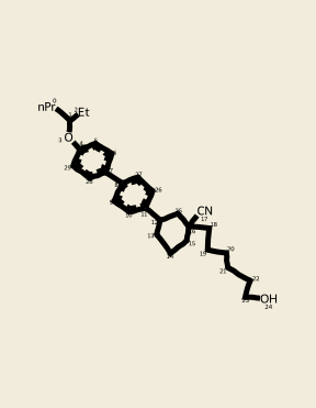 CCCC(CC)Oc1ccc(-c2ccc(C3CCCC(C#N)(CCCCCCO)C3)cc2)cc1